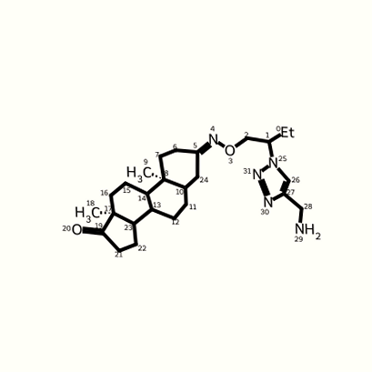 CCC(CO/N=C1/CC[C@@]2(C)C(CCC3C2CC[C@]2(C)C(=O)CCC32)C1)n1cc(CN)nn1